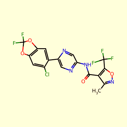 Cc1noc(C(F)(F)F)c1C(=O)Nc1cnc(-c2cc3c(cc2Cl)OC(F)(F)O3)cn1